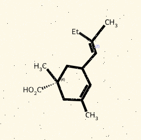 CC/C(C)=C\C1C=C(C)C[C@](C)(C(=O)O)C1